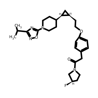 CC(C)c1noc(N2CCC([C@H]3C[C@H]3CCOc3ccc(CC(=O)N4CC[C@@H](F)C4)cc3)CC2)n1